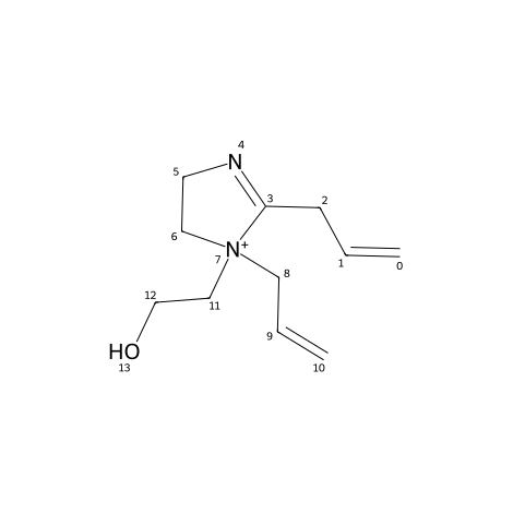 C=CCC1=NCC[N+]1(CC=C)CCO